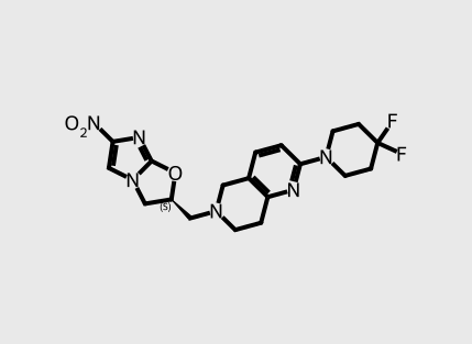 O=[N+]([O-])c1cn2c(n1)O[C@@H](CN1CCc3nc(N4CCC(F)(F)CC4)ccc3C1)C2